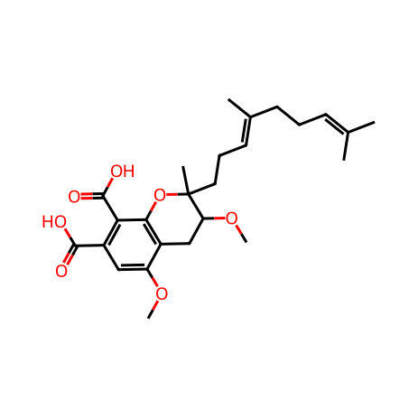 COc1cc(C(=O)O)c(C(=O)O)c2c1CC(OC)C(C)(CC/C=C(\C)CCC=C(C)C)O2